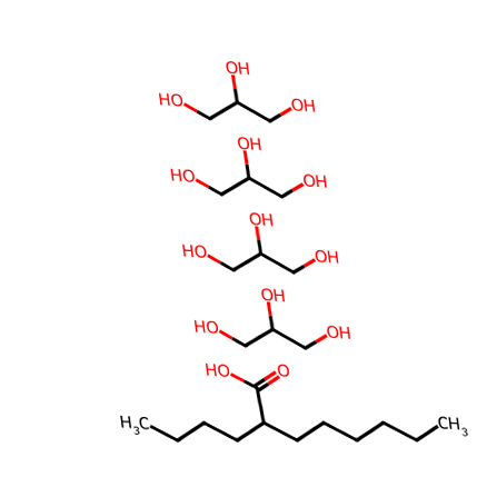 CCCCCCC(CCCC)C(=O)O.OCC(O)CO.OCC(O)CO.OCC(O)CO.OCC(O)CO